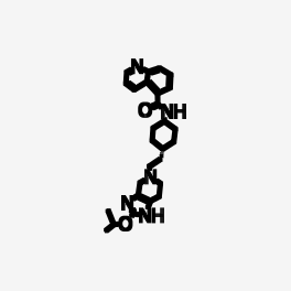 CC(C)Oc1nc2c([nH]1)CCN(CC[C@H]1CC[C@H](NC(=O)c3cccc4ncccc34)CC1)C2